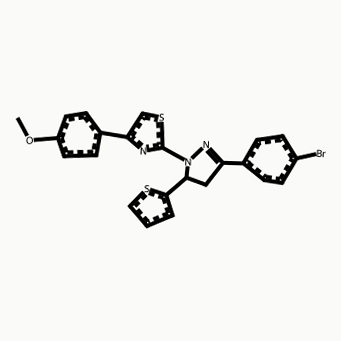 COc1ccc(-c2csc(N3N=C(c4ccc(Br)cc4)CC3c3cccs3)n2)cc1